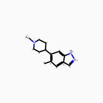 CC(=O)N1CCC(c2cc3[nH]ncc3cc2C)CC1